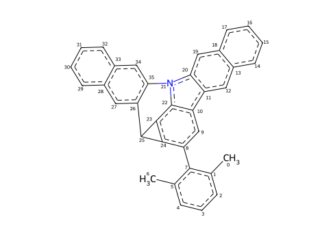 Cc1cccc(C)c1-c1cc2c3cc4ccccc4cc3n3c2c2c1C2c1cc2ccccc2cc1-3